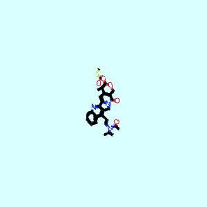 CSCOC1(C)C(=O)OCc2c1cc1n(c2=O)Cc2c-1nc1ccccc1c2CCN(C(C)=O)C(C)C